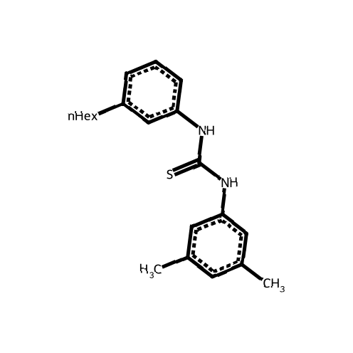 CCCCCCc1cccc(NC(=S)Nc2cc(C)cc(C)c2)c1